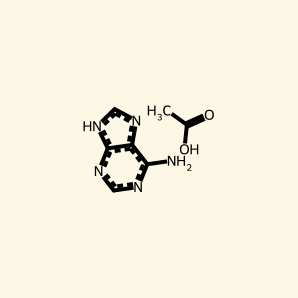 CC(=O)O.Nc1ncnc2[nH]cnc12